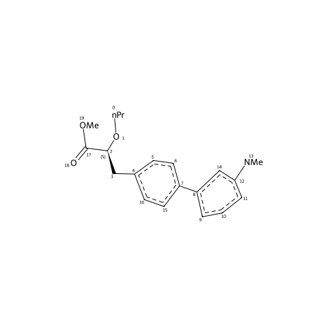 CCCO[C@@H](Cc1ccc(-c2cccc(NC)c2)cc1)C(=O)OC